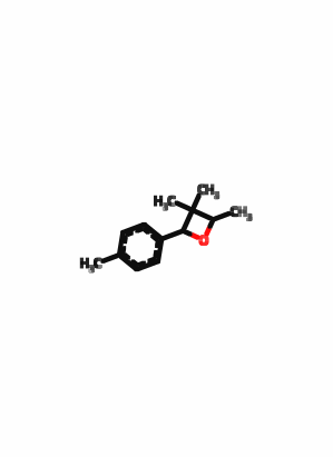 Cc1ccc(C2OC(C)C2(C)C)cc1